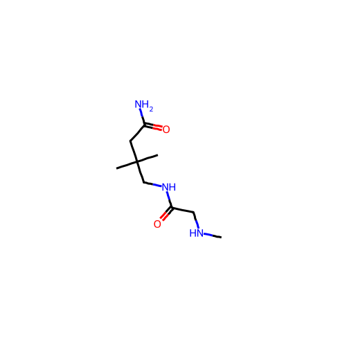 CNCC(=O)NCC(C)(C)CC(N)=O